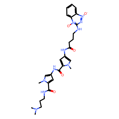 CN(C)CCCNC(=O)c1cc(NC(=O)c2cc(NC(=O)CCCNc3n[n+]([O-])c4ccccc4[n+]3[O-])cn2C)cn1C